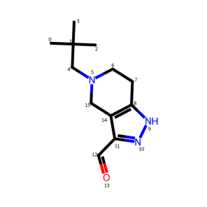 CC(C)(C)CN1CCc2[nH]nc(C=O)c2C1